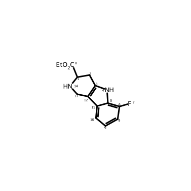 CCOC(=O)C1Cc2[nH]c3c(F)cccc3c2CN1